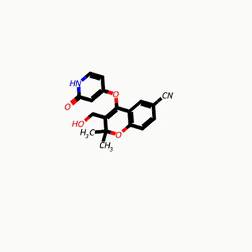 CC1(C)Oc2ccc(C#N)cc2C(Oc2cc[nH]c(=O)c2)=C1CO